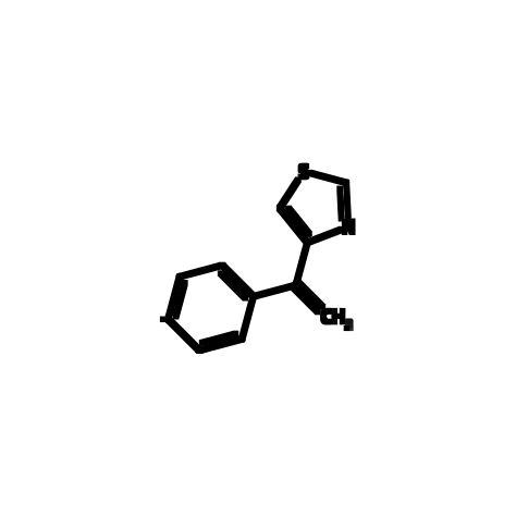 C=C(c1cc[c]cc1)c1cscn1